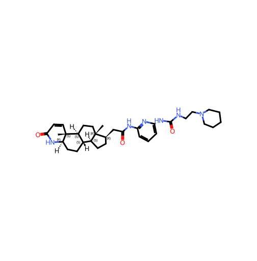 C[C@]12C=CC(=O)N[C@@H]1CC[C@@H]1[C@@H]2CC[C@]2(C)[C@@H](CC(=O)Nc3cccc(NC(=O)NCCN4CCCCC4)n3)CC[C@@H]12